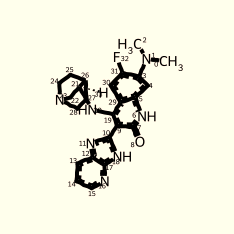 CN(C)c1cc2[nH]c(=O)c(-c3nc4cccnc4[nH]3)c(N[C@H]3CN4CCC3CC4)c2cc1F